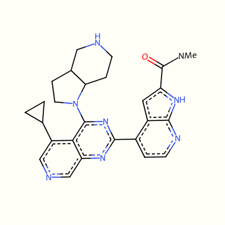 CNC(=O)c1cc2c(-c3nc(N4CCC5CNCCC54)c4c(C5CC5)cncc4n3)ccnc2[nH]1